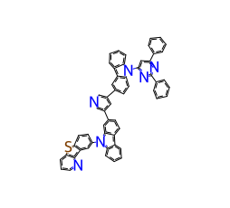 c1ccc(-c2cc(-n3c4ccccc4c4cc(-c5cncc(-c6ccc7c8ccccc8n(-c8ccc9sc%10cccnc%10c9c8)c7c6)c5)ccc43)nc(-c3ccccc3)n2)cc1